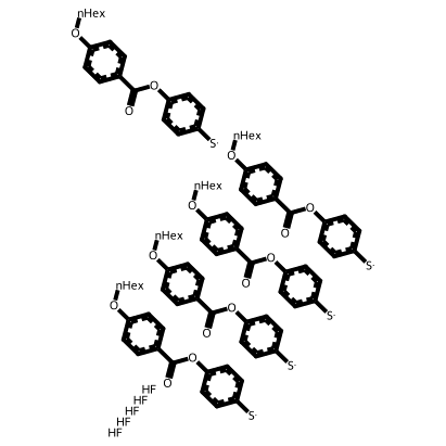 CCCCCCOc1ccc(C(=O)Oc2ccc([S])cc2)cc1.CCCCCCOc1ccc(C(=O)Oc2ccc([S])cc2)cc1.CCCCCCOc1ccc(C(=O)Oc2ccc([S])cc2)cc1.CCCCCCOc1ccc(C(=O)Oc2ccc([S])cc2)cc1.CCCCCCOc1ccc(C(=O)Oc2ccc([S])cc2)cc1.F.F.F.F.F